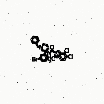 Cn1c(C(=O)NC2(c3cccc(Br)c3)CCCN(Cc3ccccc3)C2)cc2c(Cl)c(Cl)ccc21